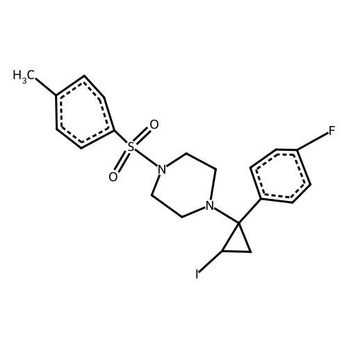 Cc1ccc(S(=O)(=O)N2CCN(C3(c4ccc(F)cc4)CC3I)CC2)cc1